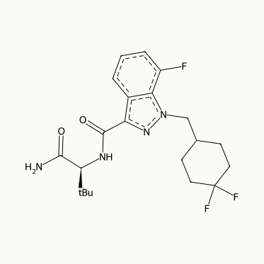 CC(C)(C)[C@H](NC(=O)c1nn(CC2CCC(F)(F)CC2)c2c(F)cccc12)C(N)=O